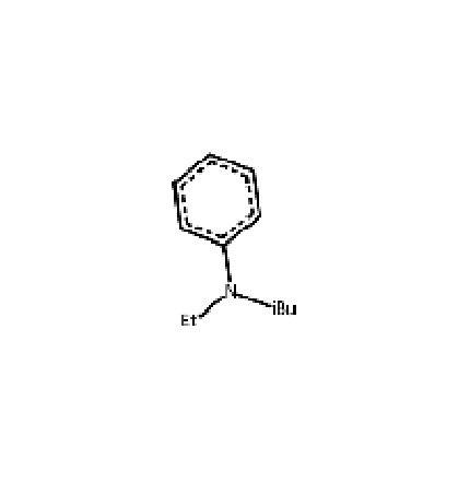 [CH2]CN(c1ccccc1)C(C)CC